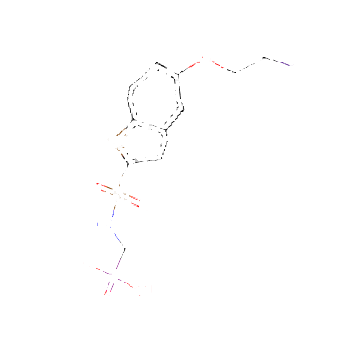 O=P(O)(O)CNS(=O)(=O)c1cc2cc(OCCI)ccc2s1